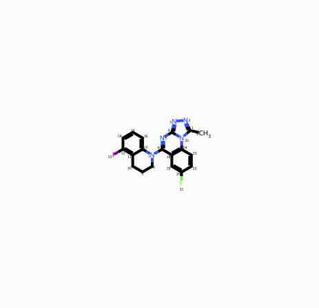 Cc1nnc2nc(N3CCCc4c(I)cccc43)c3cc(F)ccc3n12